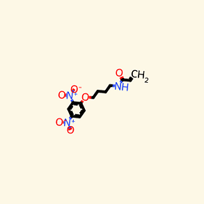 C=CC(=O)NCCCCOc1ccc([N+](=O)[O-])cc1[N+](=O)[O-]